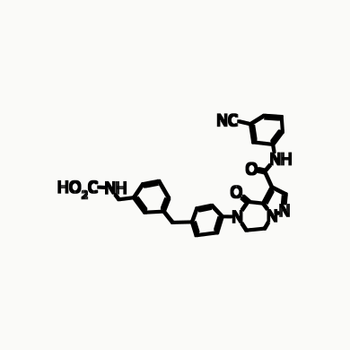 N#Cc1cccc(NC(=O)c2cnn3c2C(=O)N(c2ccc(Cc4cccc(CNC(=O)O)c4)cc2)CC3)c1